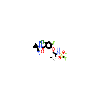 C[C@@H](COc1cc(C(=O)NC2(C#N)CC2)c(Cl)cc1F)NS(=O)(=O)C(F)(F)F